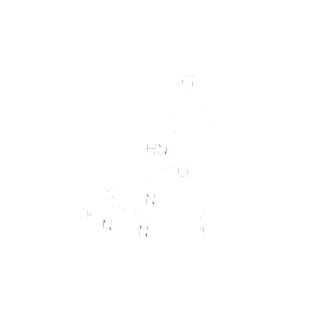 Cc1ccc(NC(=O)Cn2c(-c3nccs3)nc3ccccc32)cc1Cl